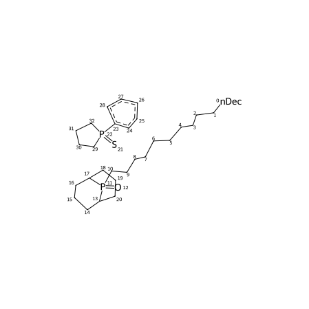 CCCCCCCCCCCCCCCCCCCCP1(=O)C2CCCC1CCC2.S=P1(c2ccccc2)CCCC1